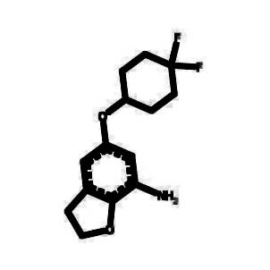 Nc1cc(OC2CCC(F)(F)CC2)cc2c1OCC2